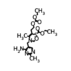 CCOC(=O)OCC/C(SC(=O)OCC)=C(\C)N(C=O)Cc1cnc(C)nc1N